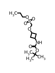 CCCOS(=O)(=O)COC1CC(NC(=O)OC(C)(C)C)C1